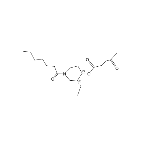 CCCCCCC(=O)N1CC[C@H](OC(=O)CCC(C)=O)[C@H](CC)C1